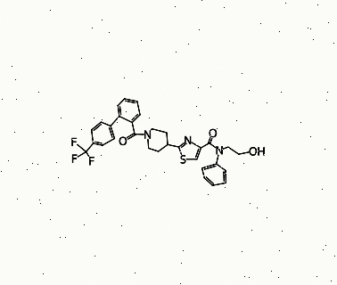 O=C(c1ccccc1-c1ccc(C(F)(F)F)cc1)N1CCC(c2nc(C(=O)N(CCO)c3ccccc3)cs2)CC1